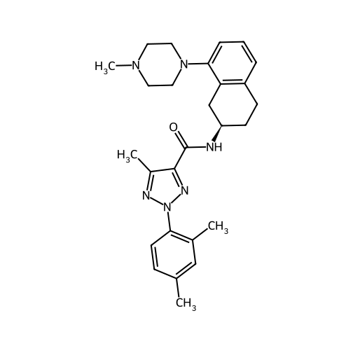 Cc1ccc(-n2nc(C)c(C(=O)N[C@@H]3CCc4cccc(N5CCN(C)CC5)c4C3)n2)c(C)c1